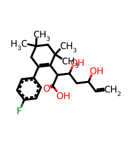 C=CC(O)CC(O)C(C(=O)O)C1=C(c2ccc(F)cc2)CC(C)(C)CC1(C)C